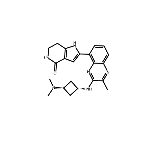 Cc1nc2cccc(-c3cc4c([nH]3)CCNC4=O)c2nc1N[C@H]1C[C@H](N(C)C)C1